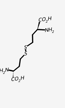 N[C@H](CCSSCC[C@H](N)C(=O)O)C(=O)O